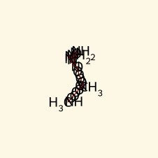 CNCCOCCOCCOCCOCCC(=O)N(C)CCOCCOCCOCCOCCC(=O)N1CCc2cc(Cn3nc(-c4ccc5oc(N)nc5c4)c4c(N)ncnc43)ccc2C1